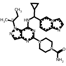 CC[C@H](C)n1ncc2nc(N3CCN(C(N)=O)CC3)nc(NC(c3ccc4nccn4c3)C3CC3)c21